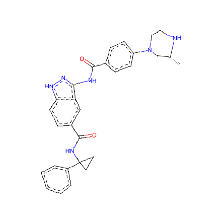 C[C@@H]1CN(c2ccc(C(=O)Nc3n[nH]c4ccc(C(=O)NC5(c6ccccc6)CC5)cc34)cc2)CCN1